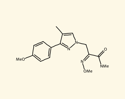 CNC(=O)C(Cn1cc(C)c(-c2ccc(OC)cc2)n1)=NOC